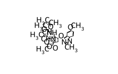 COC(=O)C1CC(Oc2nc(C)nc3ccc(OC)cc23)CN1C(=O)[C@@H](NC(=O)OC(C)(C)C)C(C)(C)C